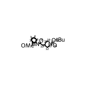 COc1ccccc1NC(=O)CC1CCN(C(=O)OC(C)(C)C)CC1